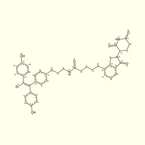 CC/C(=C(\c1ccc(O)cc1)c1ccc(OCCNC(=O)CCCSc2cccc3c2CN(C2CCC(=O)NC2=O)C3=O)cc1)c1ccc(O)cc1